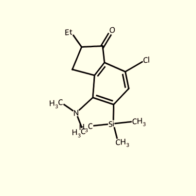 CCC1Cc2c(c(Cl)cc([Si](C)(C)C)c2N(C)C)C1=O